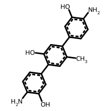 Cc1cc(-c2ccc(N)c(O)c2)c(O)cc1-c1ccc(N)c(O)c1